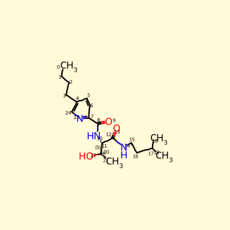 CCCCc1ccc(C(=O)N[C@H](C(=O)N[CH]CC(C)C)[C@@H](C)O)nc1